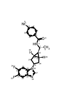 C[C@@H](NC(=O)c1ccc(C#N)cc1)[C@H]1[C@@H]2C[C@@H](n3cnc4cc(F)c(F)cc43)C[C@@H]21